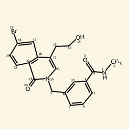 CNC(=O)c1cccc(Cn2cc(CCO)c3cc(Br)ccc3c2=O)c1